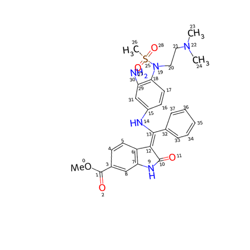 COC(=O)c1ccc2c(c1)NC(=O)C2=C(Nc1ccc(N(CCN(C)C)S(C)(=O)=O)c(N)c1)c1ccccc1